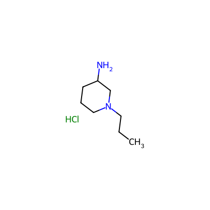 CCCN1CCCC(N)C1.Cl